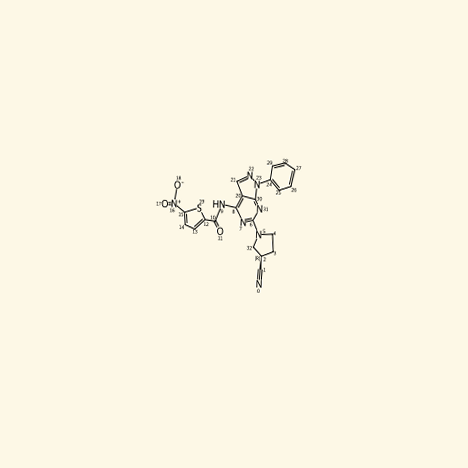 N#C[C@@H]1CCN(c2nc(NC(=O)c3ccc([N+](=O)[O-])s3)c3cnn(-c4ccccc4)c3n2)C1